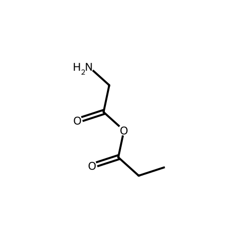 CCC(=O)OC(=O)CN